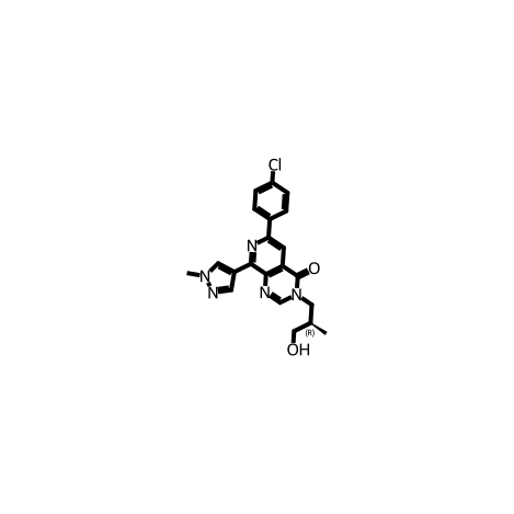 C[C@@H](CO)Cn1cnc2c(-c3cnn(C)c3)nc(-c3ccc(Cl)cc3)cc2c1=O